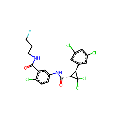 O=C(NCCCF)c1cc(NC(=O)[C@@H]2[C@@H](c3cc(Cl)cc(Cl)c3)C2(Cl)Cl)ccc1Cl